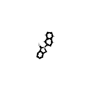 O=C1c2ccccc2CN1c1ccc2ccccc2c1